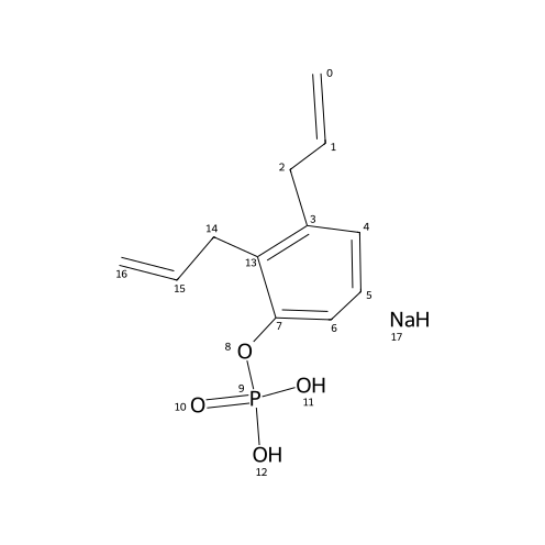 C=CCc1cccc(OP(=O)(O)O)c1CC=C.[NaH]